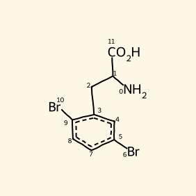 NC(Cc1cc(Br)ccc1Br)C(=O)O